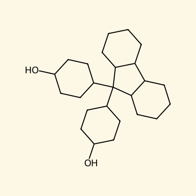 OC1CCC(C2(C3CCC(O)CC3)C3CCCCC3C3CCCCC32)CC1